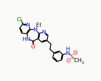 CCN1c2nc(Cl)ccc2NC(=O)c2cc(CCc3cccc(NS(C)(=O)=O)c3)cnc21